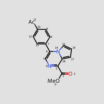 COC(=O)c1ncc(-c2ccc(C(C)=O)cc2)n2cccc12